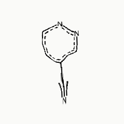 N#Cc1ccnnc1